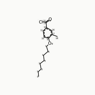 CCCCCCCCOc1ccc(C(=O)Cl)cc1C